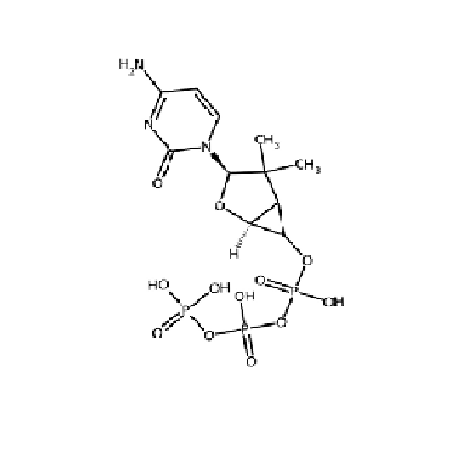 CC1(C)C2C(OP(=O)(O)OP(=O)(O)OP(=O)(O)O)[C@H]2O[C@H]1n1ccc(N)nc1=O